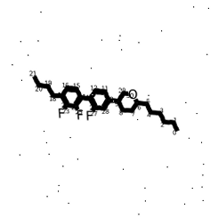 CCCCCCC1CCC(c2ccc(-c3ccc(CCCC)c(F)c3F)c(F)c2)CO1